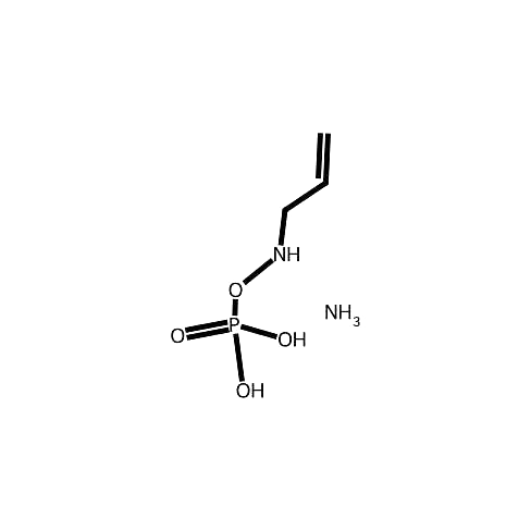 C=CCNOP(=O)(O)O.N